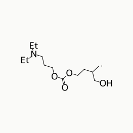 [CH2]C(CO)CCOC(=O)OCCCN(CC)CC